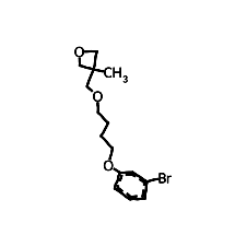 CC1(COCCCCOc2cccc(Br)c2)COC1